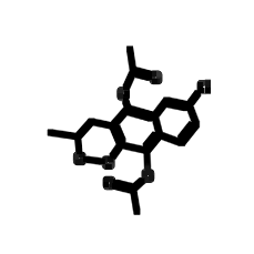 CC(=O)Oc1c2c(c(OC(C)=O)c3ccc(Cl)cc13)OOC(C)C2